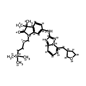 CC1(C)C(=O)N(COCC[Si](C)(C)C)c2cc(Nc3nc4ccnc(CC5CCOC5)n4n3)ccc21